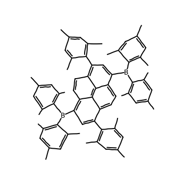 Cc1cc(C)c(B(c2c(C)cc(C)cc2C)c2cc(-c3c(C)cc(C)cc3C)c3ccc4c(B(c5c(C)cc(C)cc5C)c5c(C)cc(C)cc5C)cc(-c5c(C)cc(C)cc5C)c5ccc2c3c45)c(C)c1